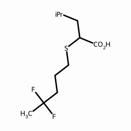 CC(C)CC(SCCCC(C)(F)F)C(=O)O